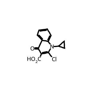 O=C(O)c1c(Cl)n(C2CC2)c2ccccc2c1=O